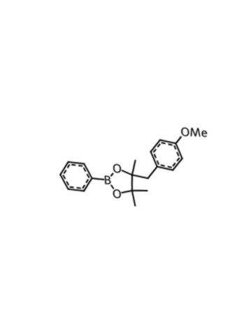 COc1ccc(CC2(C)OB(c3ccccc3)OC2(C)C)cc1